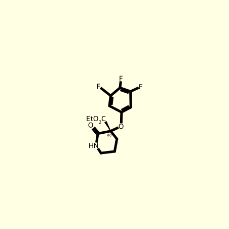 CCOC(=O)[C@@]1(Oc2cc(F)c(F)c(F)c2)CCCNC1=O